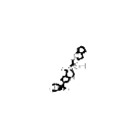 O=C1c2ccc(C(=O)N3C4CCC3COC4)cc2OCCN1C[C@H](O)CN1CCc2ccccc2C1